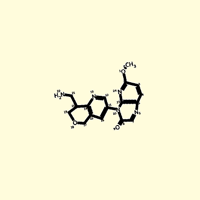 COc1ccc2ncc(=O)n(-c3cnc4c(c3)COCC4CN)c2n1